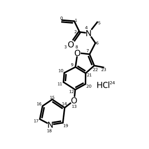 C=CC(=O)N(C)Cc1oc2ccc(Oc3cccnc3)cc2c1C.Cl